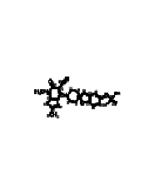 Cc1nc2c(N3CCC4(CC3)Cc3cc(OC(F)(F)F)ccc3O4)c(C#N)c(=O)n(C)c2s1